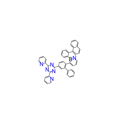 C1=CN2B(C(c3ccc(-c4nc(-c5ccccn5)nc(-c5ccccn5)n4)cc3-c3ccccc3)=C1)c1ccccc1-c1c2ccc2ccccc12